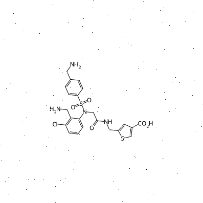 NCc1ccc(S(=O)(=O)N(CC(=O)NCc2cc(C(=O)O)cs2)c2cccc(Cl)c2CN)cc1